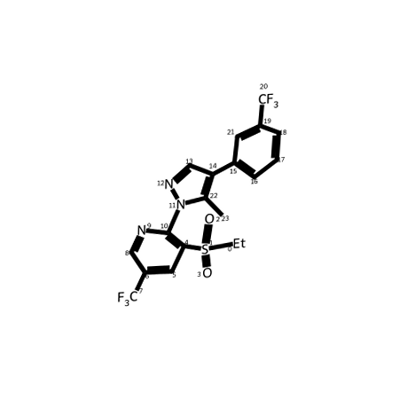 CCS(=O)(=O)c1cc(C(F)(F)F)cnc1-n1ncc(-c2cccc(C(F)(F)F)c2)c1C